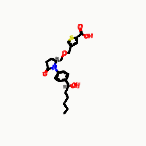 CCCCC[C@H](O)c1ccc(N2C(=O)CC[C@@H]2COCc2csc(C(=O)O)c2)cc1